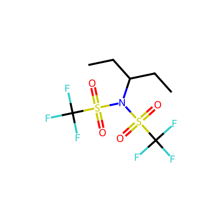 CCC(CC)N(S(=O)(=O)C(F)(F)F)S(=O)(=O)C(F)(F)F